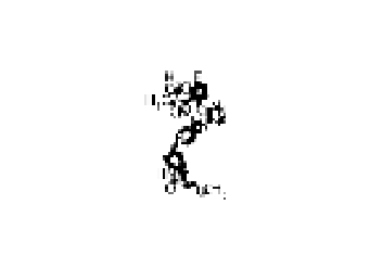 COCCN1CC2(CCC(CN3CCC4(CC3)CN(c3ncnnc3Oc3ccc(F)cc3C(=O)N(C(C)C)C(C)C)C4)CC2)NC1=O